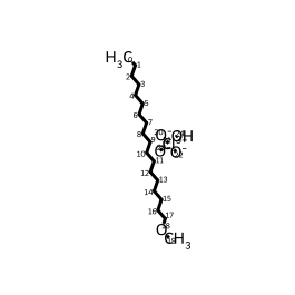 CCCCCCCCCCCCCCCCCCOC.[O-][Cl+3]([O-])([O-])O